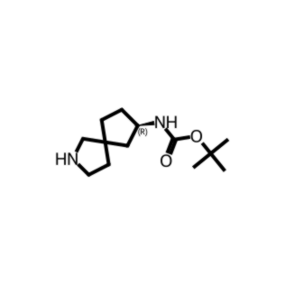 CC(C)(C)OC(=O)N[C@@H]1CCC2(CCNC2)C1